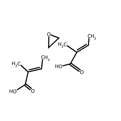 C/C=C(\C)C(=O)O.C/C=C(\C)C(=O)O.C1CO1